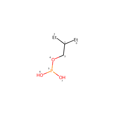 CCC(CC)COP(O)O